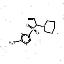 C=CC(N1CCCCC1)S(=O)(=O)c1cnc(N)s1